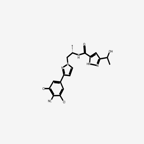 CC(O)c1cc(C(=O)N[C@@H](C)Cn2ccc(-c3cc(Cl)c(C#N)c(Cl)c3)n2)[nH]n1